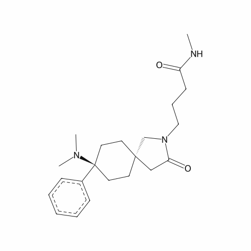 CNC(=O)CCCN1C[C@]2(CC[C@](c3ccccc3)(N(C)C)CC2)CC1=O